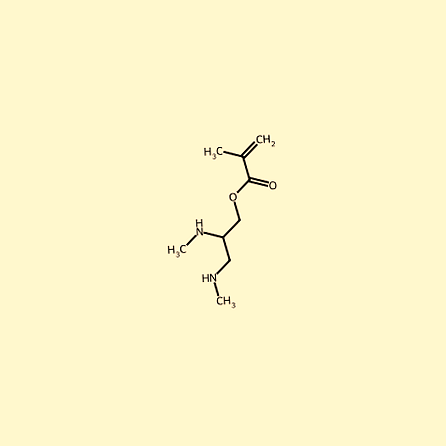 C=C(C)C(=O)OCC(CNC)NC